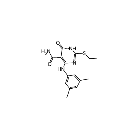 CCSc1nc(Nc2cc(C)cc(C)c2)c(C(N)=O)c(=O)[nH]1